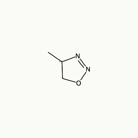 C[C]1CON=N1